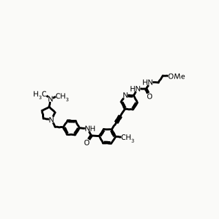 COCCNC(=O)Nc1ccc(C#Cc2cc(C(=O)Nc3ccc(CN4CCC(N(C)C)C4)cc3)ccc2C)cn1